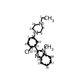 CCN1CCN(c2ccc(Cl)c(-c3nc4ccccc4n3C)c2)CC1